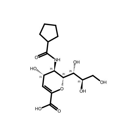 O=C(O)C1=C[C@H](O)[C@@H](NC(=O)C2CCCC2)[C@H]([C@H](O)[C@H](O)CO)O1